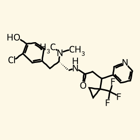 CN(C)[C@H](CNC(=O)CC(c1cccnc1)C1(C(F)(F)F)CC1)Cc1ccc(O)c(Cl)c1